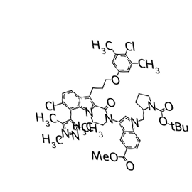 COC(=O)c1ccc2c(c1)c(N1CC(C)n3c(c(CCCOc4cc(C)c(Cl)c(C)c4)c4ccc(Cl)c(-c5c(C)nn(C)c5C)c43)C1=O)cn2CC1CCCN1C(=O)OC(C)(C)C